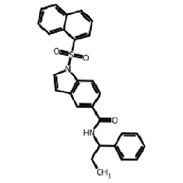 CCC(NC(=O)c1ccc2c(ccn2S(=O)(=O)c2cccc3ccccc23)c1)c1ccccc1